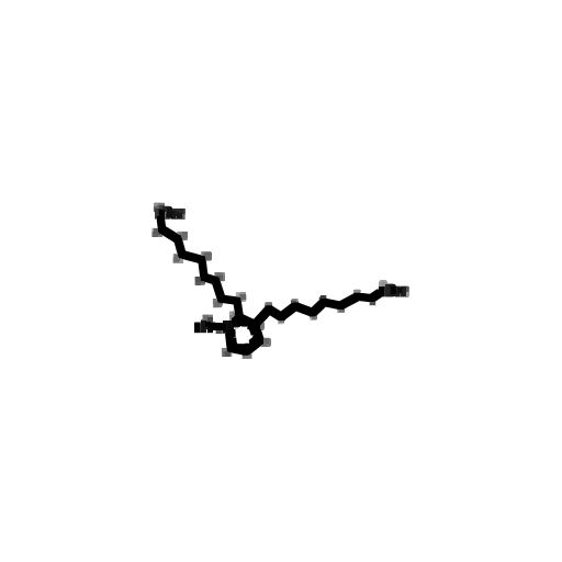 CCCCCCCCCCCCCCCCCCc1ccc[n+](CCC)c1CCCCCCCCCCCCCCCCCC